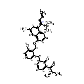 C=C/C=C(/c1cc(C)nc2c(OCc3c(Cl)cncc3Cn3cccc(C(=O)N(C)C)c3=O)cccc12)N(C)C